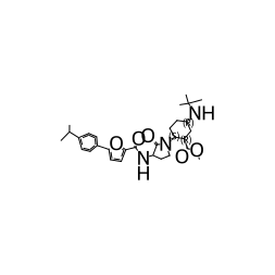 COC(=O)[C@@H]1C[C@H](NC(C)(C)C)CC[C@@H]1N1CCC(NC(=O)c2ccc(-c3ccc(C(C)C)cc3)o2)C1=O